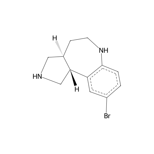 Brc1ccc2c(c1)[C@@H]1CNC[C@H]1CCN2